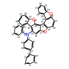 c1ccc(-c2ccc(N(c3ccccc3)c3cc4oc5ccc6oc7ccccc7c6c5c4c4oc5ccccc5c34)cc2)cc1